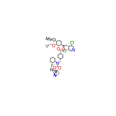 COc1ccc([C@@H](Cc2c(Cl)cncc2Cl)OC(=O)c2ccc(CN(C(=O)O[C@H]3CN4CCC3CC4)c3ccccc3F)cc2)cc1OCC1CC1